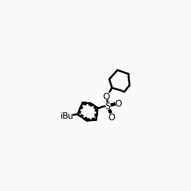 CCC(C)c1ccc(S(=O)(=O)OC2CCCCC2)cc1